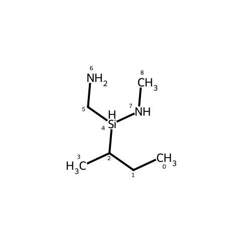 CCC(C)[SiH](CN)NC